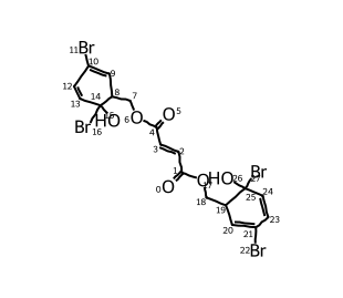 O=C(C=CC(=O)OCC1C=C(Br)C=CC1(O)Br)OCC1C=C(Br)C=CC1(O)Br